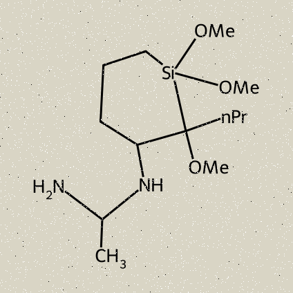 CCCC1(OC)C(NC(C)N)CCC[Si]1(OC)OC